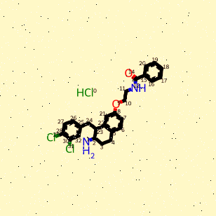 Cl.NC1CCc2ccc(OCCNC(=O)c3ccccc3)cc2C1Cc1ccc(Cl)c(Cl)c1